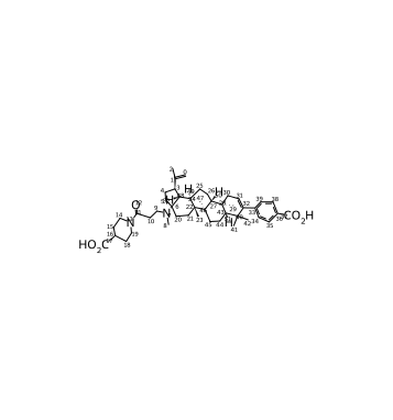 C=C(C)[C@@H]1CC[C@]2(N(C)CCC(=O)N3CCC(C(=O)O)CC3)CC[C@]3(C)[C@H](CC[C@@H]4[C@@]5(C)CC=C(c6ccc(C(=O)O)cc6)C(C)(C)[C@@H]5CC[C@]43C)[C@@H]12